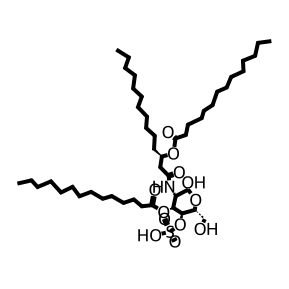 CCCCCCCCCCCCCC(=O)O[C@H](CCCCCCCCCCC)CC(=O)N[C@H]1C(O)O[C@H](CO)[C@@H](OS(=O)(=O)O)[C@@H]1OC(=O)CCCCCCCCCCCCC